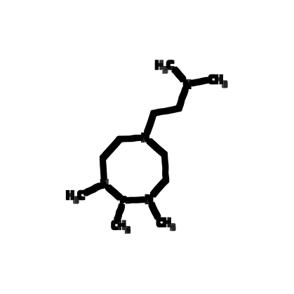 CN(C)CCN1CCN(C)P(C)N(C)CC1